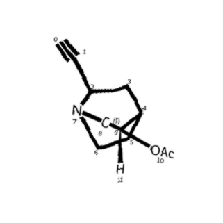 C#CC1CC2CCN1C[C@H]2OC(C)=O